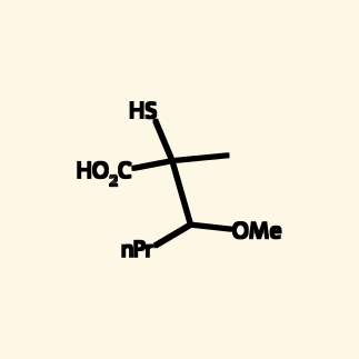 CCCC(OC)C(C)(S)C(=O)O